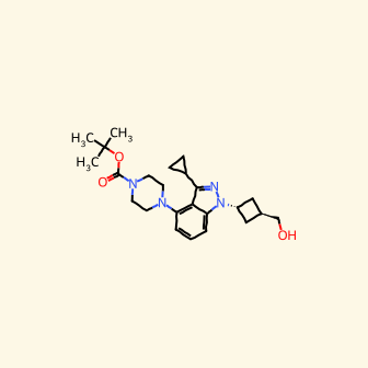 CC(C)(C)OC(=O)N1CCN(c2cccc3c2c(C2CC2)nn3[C@H]2C[C@H](CO)C2)CC1